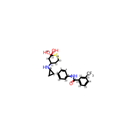 O=C(Nc1ccc([C@@H]2C[C@H]2NC2CCSC(O)(O)C2)cc1)c1cccc(C(F)(F)F)c1